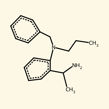 CCCN(Cc1ccccc1)c1ccccc1C(C)N